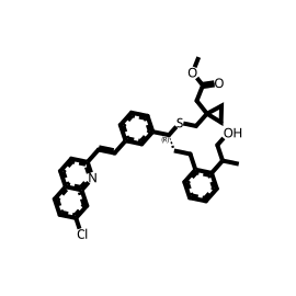 COC(=O)CC1(CS[C@H](CCc2ccccc2C(C)CO)c2cccc(C=Cc3ccc4ccc(Cl)cc4n3)c2)CC1